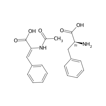 CC(=O)NC(=Cc1ccccc1)C(=O)O.N[C@@H](Cc1ccccc1)C(=O)O